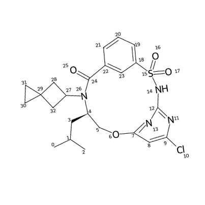 CC(C)C[C@@H]1COc2cc(Cl)nc(n2)NS(=O)(=O)c2cccc(c2)C(=O)N1C1CC2(CC2)C1